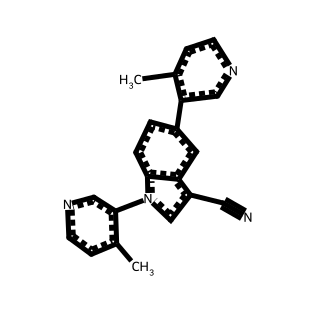 Cc1ccncc1-c1ccc2c(c1)c(C#N)cn2-c1cnccc1C